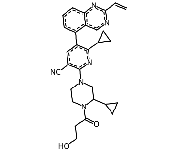 C=Cc1ncc2c(-c3cc(C#N)c(N4CCN(C(=O)CCO)C(C5CC5)C4)nc3C3CC3)cccc2n1